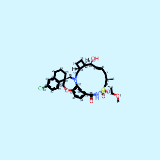 COCC[C@H]1[C@H](C)C/C=C/[C@H](O)[C@@H]2CC[C@H]2CN2C[C@@]3(CCCc4cc(Cl)ccc43)COc3ccc(cc32)C(=O)NS1(=O)=O